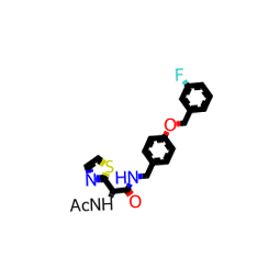 CC(=O)NC(C(=O)NCc1ccc(OCc2cccc(F)c2)cc1)c1nccs1